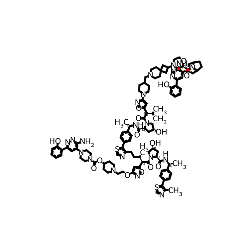 Cc1ncsc1-c1ccc([C@H](C)NC(=O)[C@@H]2C[C@@H](O)CN2C(=O)[C@@H](c2cc(OCCN3CCC(OC(=O)N4CCN(c5cc(-c6ccccc6O)nnc5N)CC4)CC3)no2)C(C)CCc2ncsc2-c2ccc([C@H](C)NC(=O)[C@@H]3C[C@@H](O)CN3C(=O)[C@@H](c3cc(N4CCC(CN5CCC6(CC5)CC(N5CCO[C@@H](C(=O)N7C8CCC7CN(c7cc(-c9ccccc9O)nnc7N)C8)C5)C6)CC4)no3)C(C)C)cc2)cc1